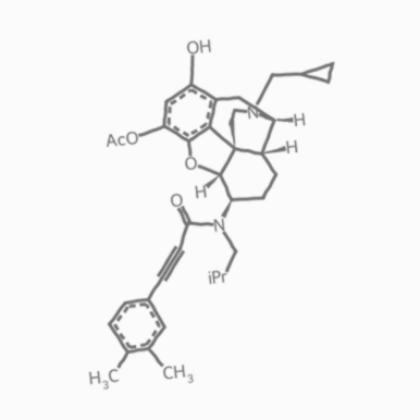 CC(=O)Oc1cc(O)c2c3c1O[C@H]1[C@H](N(CC(C)C)C(=O)C#Cc4ccc(C)c(C)c4)CC[C@H]4[C@@H](C2)N(CC2CC2)CC[C@@]341